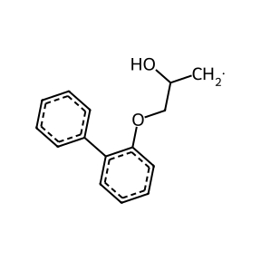 [CH2]C(O)COc1ccccc1-c1ccccc1